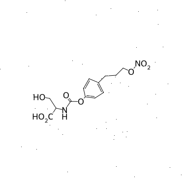 O=C(NC(CO)C(=O)O)Oc1ccc(CCCO[N+](=O)[O-])cc1